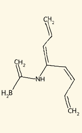 BC(=C)NC(/C=C\C=C)=C/C=C